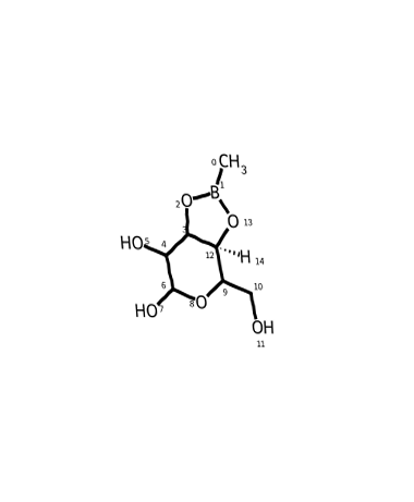 CB1OC2C(O)C(O)OC(CO)[C@@H]2O1